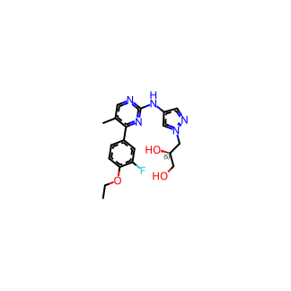 CCOc1ccc(-c2nc(Nc3cnn(C[C@H](O)CO)c3)ncc2C)cc1F